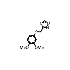 COc1ccc(SCc2ncon2)cc1OC